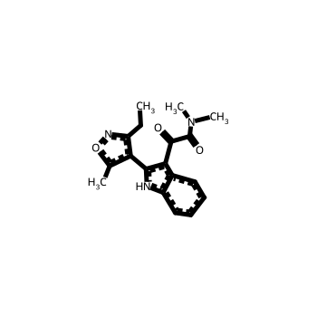 CCc1noc(C)c1-c1[nH]c2ccccc2c1C(=O)C(=O)N(C)C